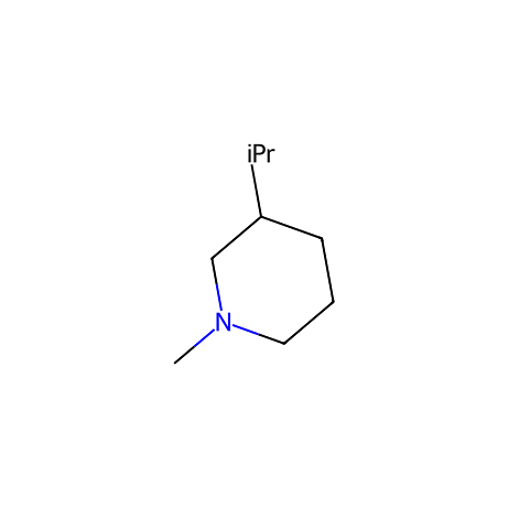 CC(C)C1CCCN(C)C1